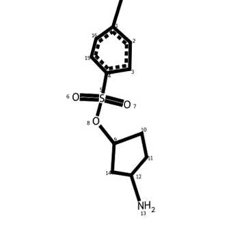 Cc1ccc(S(=O)(=O)OC2CCC(N)C2)cc1